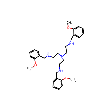 COc1ccccc1CNCCN(CCNCc1ccccc1OC)CCNCc1ccccc1OC